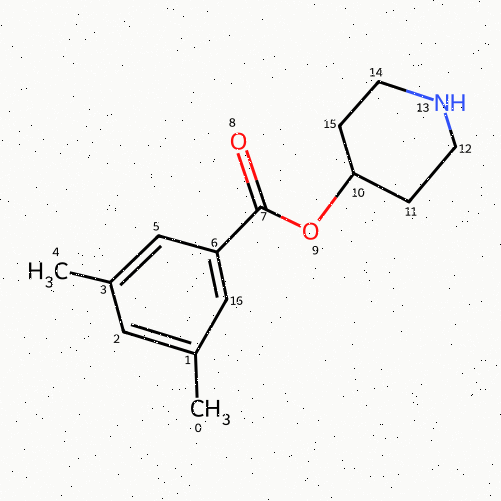 Cc1cc(C)cc(C(=O)OC2CCNCC2)c1